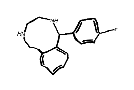 Fc1ccc(C2NCCNCc3ccccc32)cc1